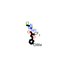 COc1cccc(-c2cc(C(=O)Nc3nc(CCl)ns3)c(C(F)(F)F)o2)c1